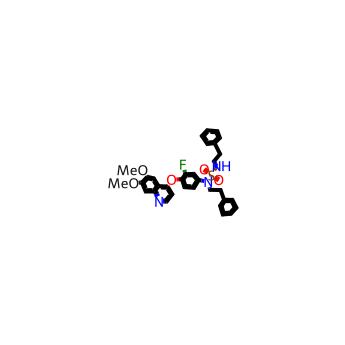 COc1cc2nccc(Oc3ccc(N(CCc4ccccc4)S(=O)(=O)NCCc4ccccc4)cc3F)c2cc1OC